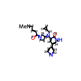 CNC/C=C/C(=O)N1CCC(N(CC2CC2)c2cc(-c3ccncc3)c[nH]c2=O)C1